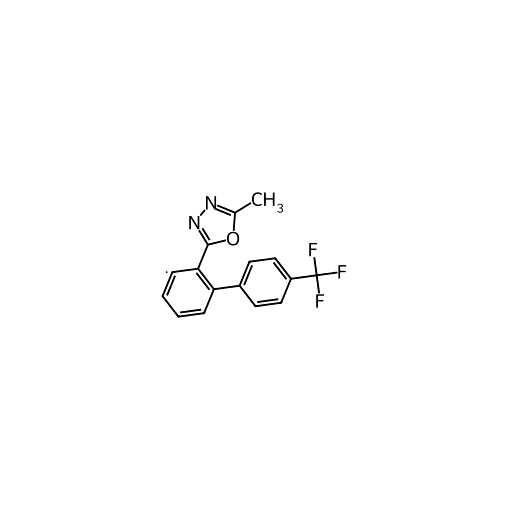 Cc1nnc(-c2[c]cccc2-c2ccc(C(F)(F)F)cc2)o1